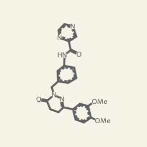 COc1ccc(C2=NN(Cc3cccc(NC(=O)c4cnccn4)c3)C(=O)CC2)cc1OC